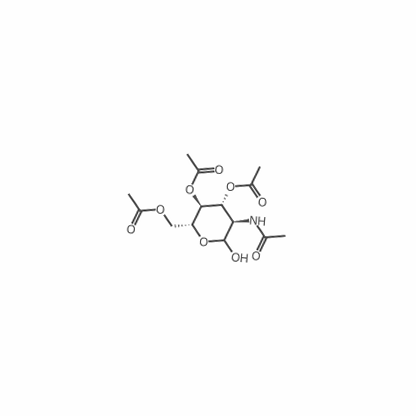 CC(=O)N[C@H]1C(O)O[C@H](COC(C)=O)[C@@H](OC(C)=O)[C@@H]1OC(C)=O